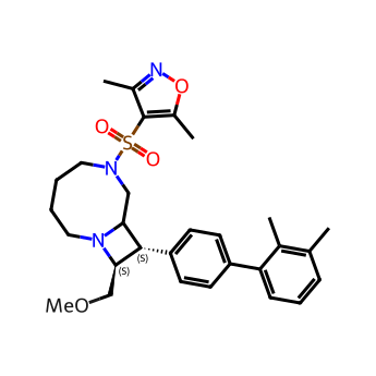 COC[C@@H]1[C@@H](c2ccc(-c3cccc(C)c3C)cc2)C2CN(S(=O)(=O)c3c(C)noc3C)CCCCN21